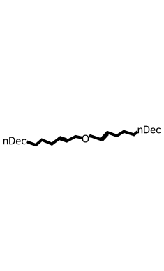 CCCCCCCCCCCCCC=CCOCC=CCCCCCCCCCCCCC